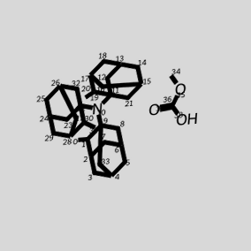 CC1C2CC3CC(C2)CC1(N(C12CC4CC(CC(C4)C1C)C2)C12CC4CC(CC(C4)C1C)C2)C3.COC(=O)O